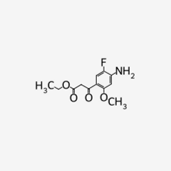 CCOC(=O)CC(=O)c1cc(F)c(N)cc1OC